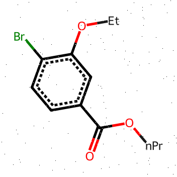 CCCOC(=O)c1ccc(Br)c(OCC)c1